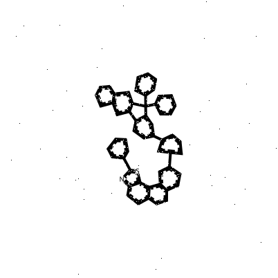 c1ccc(-c2nc3ccc4ccc5ccc(-c6cccc(-c7ccc8c(c7)C(c7ccccc7)(c7ccccc7)c7cc9ccccc9cc7-8)c6)cc5c4c3s2)cc1